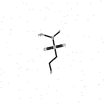 CCCN(I)S(=O)(=O)CCF